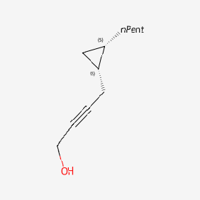 CCCCC[C@H]1C[C@H]1CC#CCO